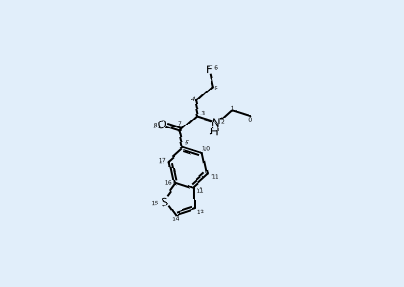 CCNC(CCF)C(=O)c1ccc2ccsc2c1